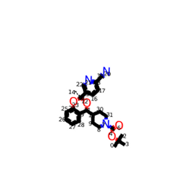 CC(C)(C)OC(=O)N1CCC(C2O[C@](C)(c3ccc(C#N)nc3)Oc3ccccc32)CC1